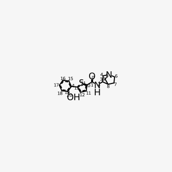 O=C(NC1CN2CCC1C2)c1ccc(-c2ccccc2O)s1